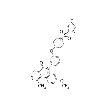 Cc1cccc(C(=O)Nc2cccc(OC3CCN(S(=O)(=O)c4c[nH]cn4)CC3)c2)c1-c1ccc(OC(F)(F)F)cc1